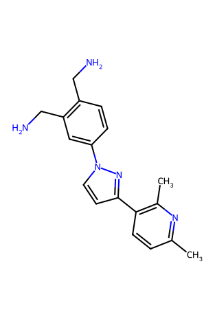 Cc1ccc(-c2ccn(-c3ccc(CN)c(CN)c3)n2)c(C)n1